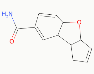 NC(=O)C1=CC2C(C=C1)OC1C=CCC12